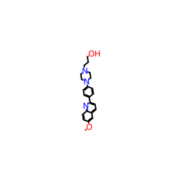 COc1ccc2nc(-c3ccc(N4CCN(CCCO)CC4)cc3)ccc2c1